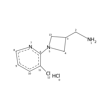 Cl.NCC1CN(c2ncccc2Cl)C1